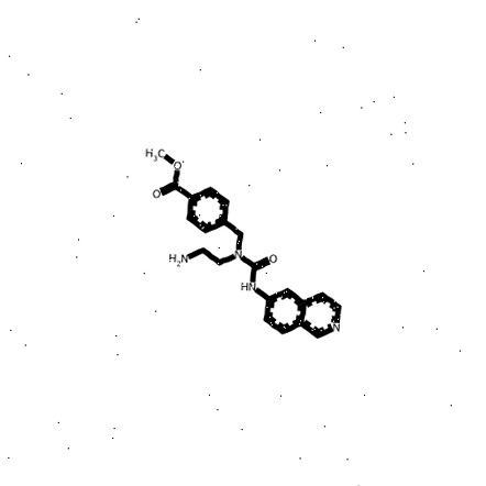 COC(=O)c1ccc(CN(CCN)C(=O)Nc2ccc3cnccc3c2)cc1